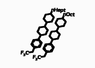 CCCCCCCC1CCC(C2CCC(c3ccc(CC(F)(F)F)cc3)CC2)CC1.CCCCCCCCC1CCC(C2CCC(c3ccc(CC(F)(F)F)cc3)CC2)CC1